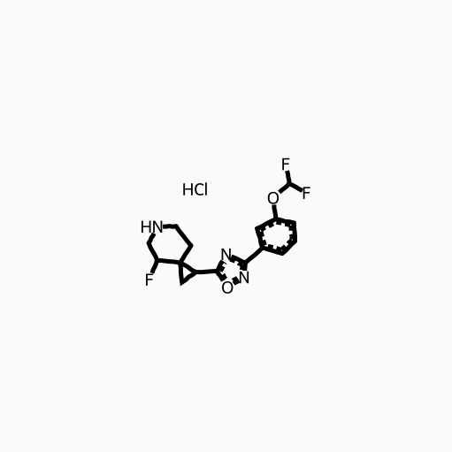 Cl.FC(F)Oc1cccc(-c2noc(C3CC34CCNCC4F)n2)c1